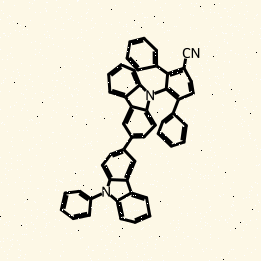 N#Cc1ccc(-c2ccccc2)c(-n2c3ccccc3c3cc(-c4ccc5c(c4)c4ccccc4n5-c4ccccc4)ccc32)c1-c1ccccc1